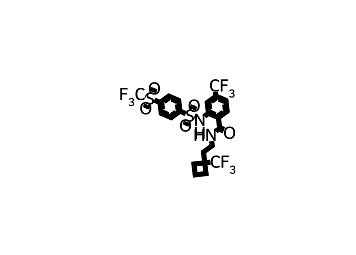 O=C(NCCC1(C(F)(F)F)CCC1)c1ccc(C(F)(F)F)cc1NS(=O)(=O)c1ccc(S(=O)(=O)C(F)(F)F)cc1